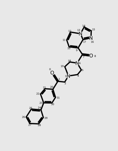 O=C(CN1CCN(C(=O)c2cccn3ccnc23)CC1)c1ccc(-c2ccccc2)cc1